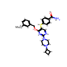 COc1cccc(COc2nc(N3CCN(C4CCC4)CC3)ncc2Sc2ccc(C(N)=O)cc2)c1